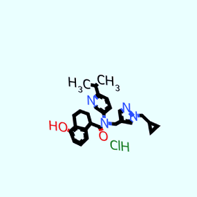 CC(C)c1ccc(N(Cc2cnn(CC3CC3)c2)C(=O)C2CCCc3c(O)cccc32)cn1.Cl